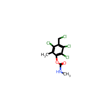 CNC(=O)Oc1c(C)c(Cl)c(CCl)c(Cl)c1Cl